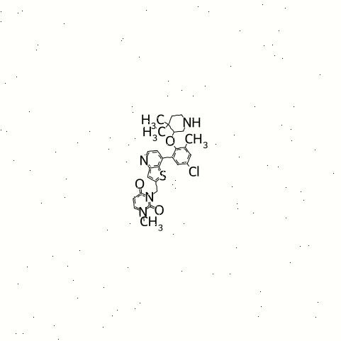 Cc1cc(Cl)cc(-c2ccnc3cc(Cn4c(=O)ccn(C)c4=O)sc23)c1OC1CNCCC1(C)C